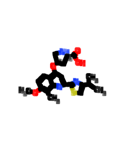 COc1ccc2c(O[C@H]3CN[C@H](C(=O)O)C3)cc(-c3nc(C(C)C)cs3)nc2c1C